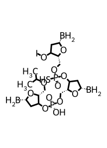 B[C@H]1CC(OI)[C@@H](COP(=O)(S)OC2C[C@H](B)O[C@@H]2COP(=O)(O)OC2C[C@H](B)O[C@@H]2COC(C)C)O1